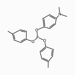 Cc1ccc(OP(Oc2ccc(C)cc2)Oc2ccc(N(C)C)cc2)cc1